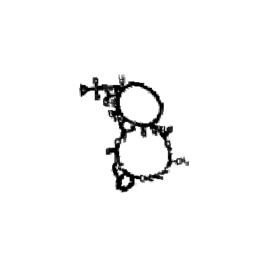 C[C@@H]1CCCCc2cccc3c2CN(C3)C(=O)O[C@@H]2C[C@H]3C(=O)N[C@]4(C(=O)NS(=O)(=O)C5CC5)C[C@H]4CCCCCCC[C@H](NC(=O)OC1)C(=O)N3C2